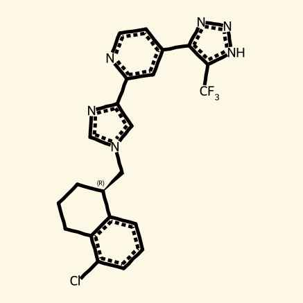 FC(F)(F)c1[nH]nnc1-c1ccnc(-c2cn(C[C@@H]3CCCc4c(Cl)cccc43)cn2)c1